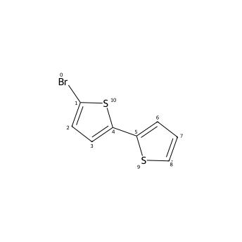 Brc1ccc(-c2cc[c]s2)s1